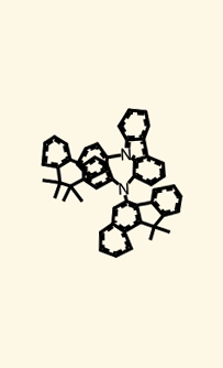 CC1(C)c2ccccc2-c2c(N(c3ccc4c(c3)C(C)(C)C(C)(C)c3ccccc3-4)c3cccc4c5ccccc5n(-c5ccccc5)c34)cc3ccccc3c21